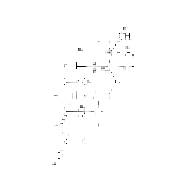 CCC[C@]12CC[C@H]3[C@@H](CCC4=CC(=O)CC[C@@H]43)[C@@H]1CC[C@]2(C)O